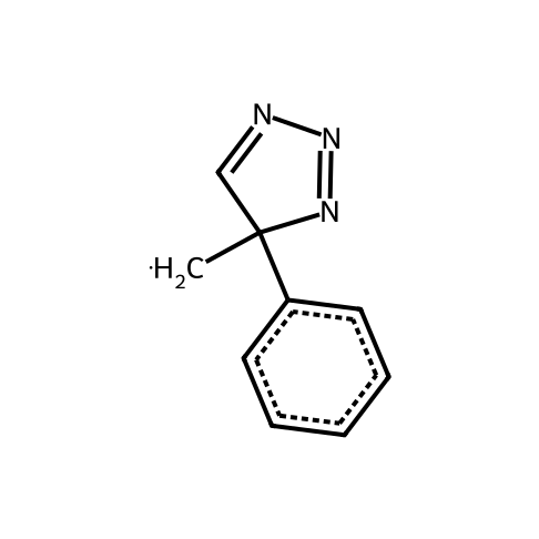 [CH2]C1(c2ccccc2)C=NN=N1